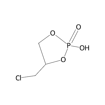 O=P1(O)OCC(CCl)O1